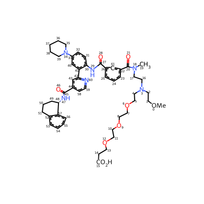 COCCN(CCOCCOCCOCCC(=O)O)CCN(C)C(=O)c1cccc(C(=O)Nc2ccc(N3CCCCC3)cc2-c2cc(C(=O)N[C@H]3CCCc4ccccc43)ccn2)c1